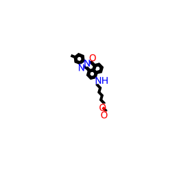 Cc1ccc2c(c1)nc1c3ccc(NCCCCCCOC=O)c4cccc(c(=O)n21)c43